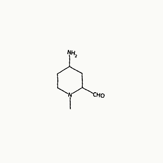 CN1CCC(N)CC1C=O